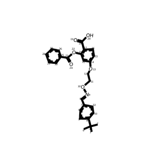 CC(C)(C)c1ccc(C=NOCCOc2ccc(C(=O)O)c(OC(=O)c3ccccc3)c2)cc1